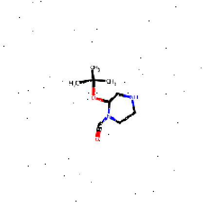 CC(C)(C)OC1CNCCN1C=O